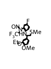 CCOc1cc(C(CSC)Nc2ccc(F)cc2N(CC(F)(F)F)N=O)ccc1OC